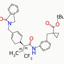 C[C@H]([C@H](C(=O)Nc1cccc(CC2(C(=O)OC(C)(C)C)CC2)c1)C1C=CC(CN2Cc3ccccc3C2=O)=CC1)C(F)(F)F